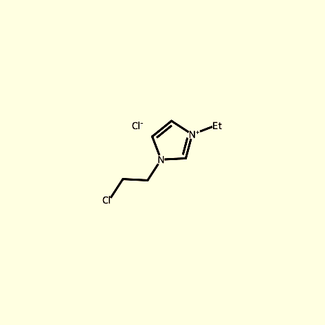 CC[n+]1ccn(CCCl)c1.[Cl-]